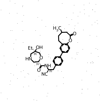 CC[C@@]1(O)CNC[C@@H](C(=O)N[C@H](C#N)Cc2ccc(-c3ccc4c(c3)CCC(C)CC(=O)O4)cc2)OC1